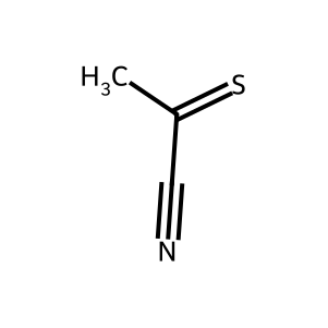 CC(=S)C#N